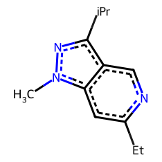 CCc1cc2c(cn1)c(C(C)C)nn2C